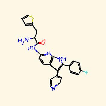 NC(Cc1cccs1)C(=O)Nc1ccc2c(-c3ccncc3)c(-c3ccc(F)cc3)[nH]c2n1